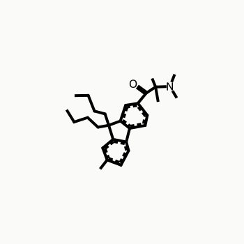 CCCCC1(CCCC)c2cc(C)ccc2-c2ccc(C(=O)C(C)(C)N(C)C)cc21